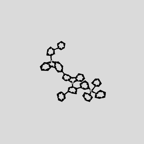 c1ccc(-c2cccc(-n3c4ccccc4c4cc(-c5ccc6c(c5)c5ccccc5n6-c5cc(-c6ccccc6)ccc5-c5cccc([Si](c6ccccc6)(c6ccccc6)c6ccccc6)c5)ccc43)c2)cc1